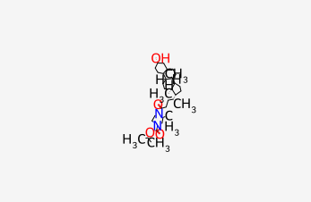 CC(C)OC(=O)N1CCN(C(=O)CCC(C)[C@H]2CC[C@H]3[C@@H]4CC=C5C[C@@H](O)CC[C@]5(C)[C@H]4CC[C@]23C)[C@@H](C)C1